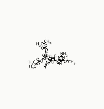 CCOc1nc(N)nc2c1ncn2C1O[C@](CN=[N+]=[N-])(COP(=O)(OCOC(=O)OC(C)C)OCOC(=O)OC(C)C)[C@@H](O)[C@H]1F